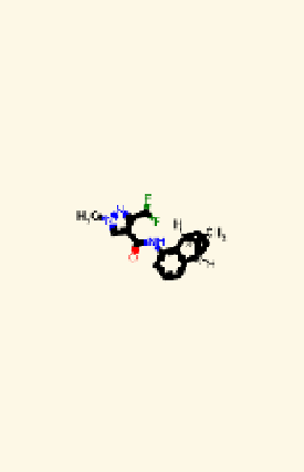 C=C1[C@H]2CC[C@@H]1c1c(NC(=O)c3cn(C)nc3C(F)F)cccc12